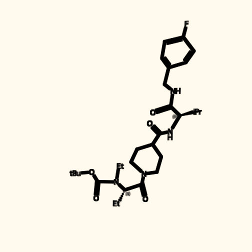 CC[C@@H](C(=O)N1CCC(C(=O)N[C@@H](C(=O)NCc2ccc(F)cc2)C(C)C)CC1)N(CC)C(=O)OC(C)(C)C